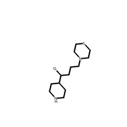 [O]C(CCCN1CCSCC1)C1CCNCC1